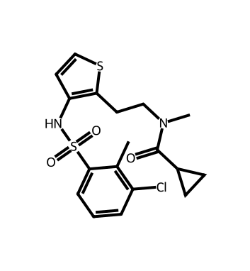 Cc1c(Cl)cccc1S(=O)(=O)Nc1ccsc1CCN(C)C(=O)C1CC1